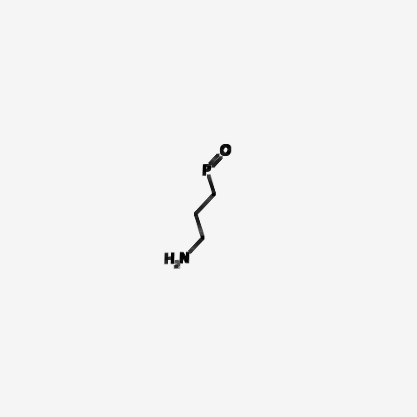 NCCCP=O